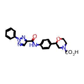 O=C(Nc1ccc(C2CN(C(=O)O)CCO2)cc1)c1cnn(-c2ccccc2)n1